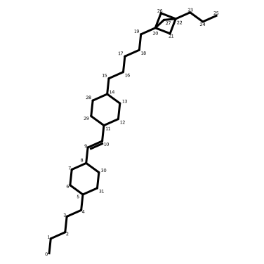 CCCCCC1CCC(/C=C/C2CCC(CCCCCC34CC(CCC)(C3)C4)CC2)CC1